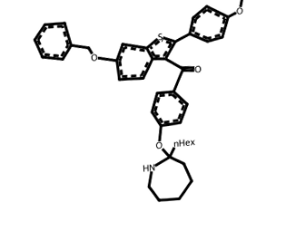 CCCCCCC1(Oc2ccc(C(=O)c3c(-c4ccc(OC(C)C)cc4)sc4cc(OCc5ccccc5)ccc34)cc2)CCCCCN1